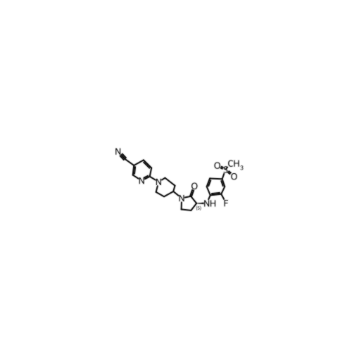 CS(=O)(=O)c1ccc(N[C@H]2CCN(C3CCN(c4ccc(C#N)cn4)CC3)C2=O)c(F)c1